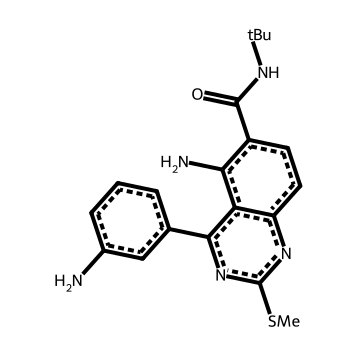 CSc1nc(-c2cccc(N)c2)c2c(N)c(C(=O)NC(C)(C)C)ccc2n1